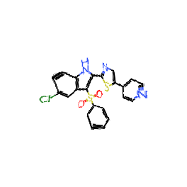 O=S(=O)(c1ccccc1)c1c(-c2ncc(-c3ccncc3)s2)[nH]c2ccc(Cl)cc12